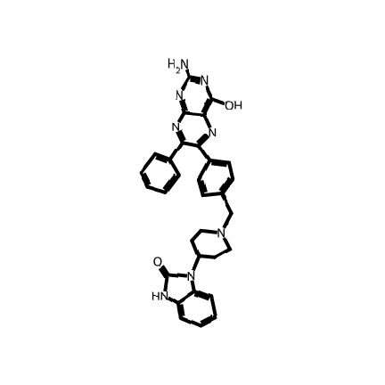 Nc1nc(O)c2nc(-c3ccc(CN4CCC(n5c(=O)[nH]c6ccccc65)CC4)cc3)c(-c3ccccc3)nc2n1